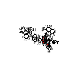 CC(C)Oc1nc(-c2cccc3ccc(F)c(C#C[Si](C(C)C)(C(C)C)C(C)C)c23)c(F)c2nc(OC[C@]34CCCN3[C@@H](CO[Si](c3ccccc3)(c3ccccc3)C(C)(C)C)CC4)nc(N3CC4CCC(C3)N4C(=O)OC(C)(C)C)c12